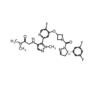 CN(C)C(=O)CNc1cnn(C)c1-c1cc(OC2CN(C(=O)N3N=CC[C@H]3c3cc(F)cc(F)c3)C2)c(F)cn1